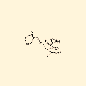 O=C(O)C(CCSSC1C=CC=CN1)S(=O)(=O)O